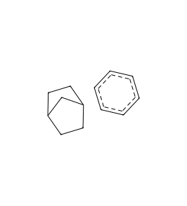 C1CC2CCC1C2.c1ccccc1